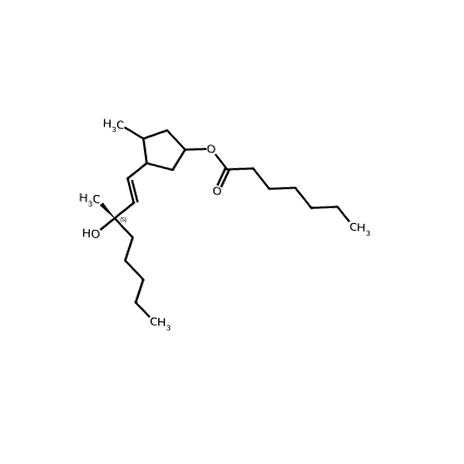 CCCCCCC(=O)OC1CC(C)C(C=C[C@@](C)(O)CCCCC)C1